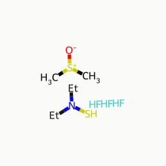 CCN(S)CC.C[S+](C)[O-].F.F.F